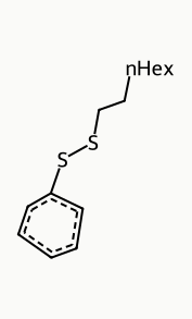 CCCCCCCCSSc1ccccc1